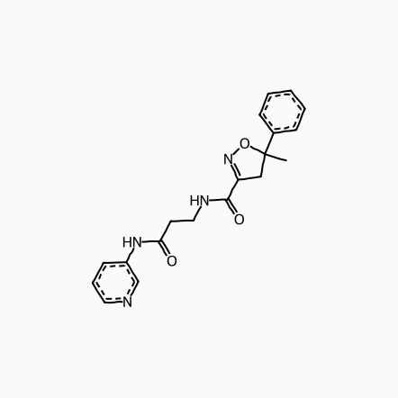 CC1(c2ccccc2)CC(C(=O)NCCC(=O)Nc2cccnc2)=NO1